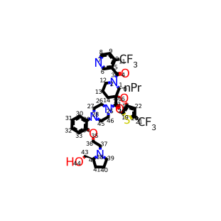 CCC[C@H]1N(C(=O)c2cnccc2C(F)(F)F)CCC[C@@]1(Oc1csc(C(F)(F)F)c1)C(=O)N1CCN(c2ccccc2OCCN2CCC[C@H]2CO)CC1